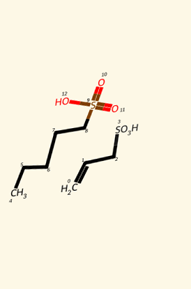 C=CCS(=O)(=O)O.CCCCCS(=O)(=O)O